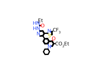 CCNC(=O)Nc1cc(-c2nc(C(F)(F)F)cs2)c(-c2ccc3c(c2)c(=O)c(C(=O)OCC)cn3C2CCCCC2)cn1